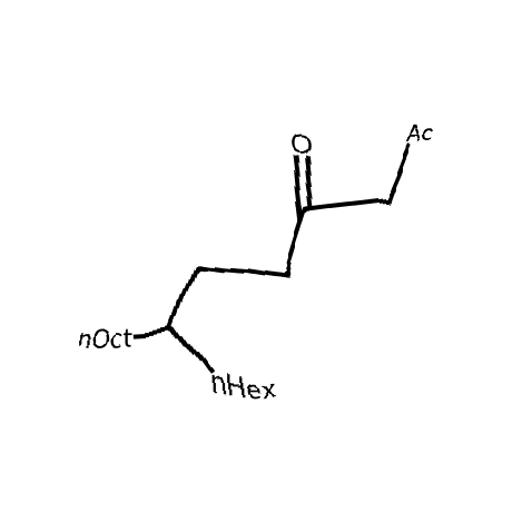 CCCCCCCCC(CCCCCC)CCC(=O)CC(C)=O